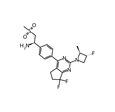 C[C@H]1[C@H](F)CN1c1nc(-c2ccc([C@@H](N)CS(C)(=O)=O)cc2)c2c(n1)C(F)(F)CC2